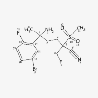 CC(N)(CCC(C#N)(CF)S(C)(=O)=O)c1cc(Br)ccc1F